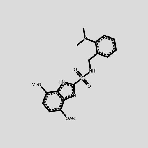 COc1ccc(OC)c2[nH]c(S(=O)(=O)NCc3ccccc3N(C)C)nc12